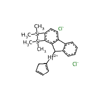 C[Si]1(C)c2ccc3c(c2[Si]1(C)C)[CH]([Hf+2][C]1=CC=CC1)c1ccccc1-3.[Cl-].[Cl-]